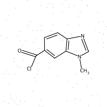 Cn1cnc2ccc(C(=O)Cl)cc21